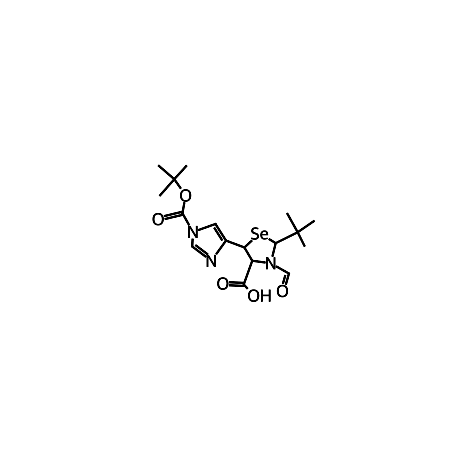 CC(C)(C)OC(=O)n1cnc(C2[Se]C(C(C)(C)C)N(C=O)C2C(=O)O)c1